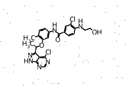 Cc1ccc(NC(=O)c2ccc(NCCO)c(Cl)c2)cc1OC(C)c1n[nH]c2ncnc(Cl)c12